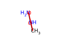 CCCCCCCCCCCCCCCC(=O)NCCCCCCCCCCCCCCCCCC(N)=O